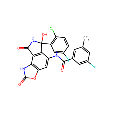 O=C(Nc1cc2oc(=O)[nH]c2c2c1C(O)(c1cc(F)ccc1Cl)NC2=O)c1cc(F)cc(C(F)(F)F)c1